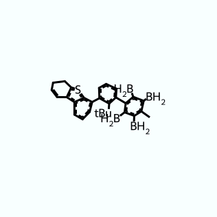 Bc1c(B)c(-c2cccc(-c3cccc4c5c(sc34)CCC=C5)c2C(C)(C)C)c(B)c(B)c1C